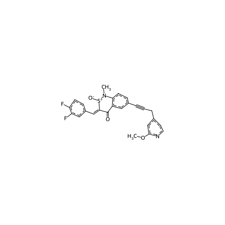 COc1cc(CC#Cc2ccc3c(c2)C(=O)/C(=C/c2ccc(F)c(F)c2)[S+]([O-])N3C)ccn1